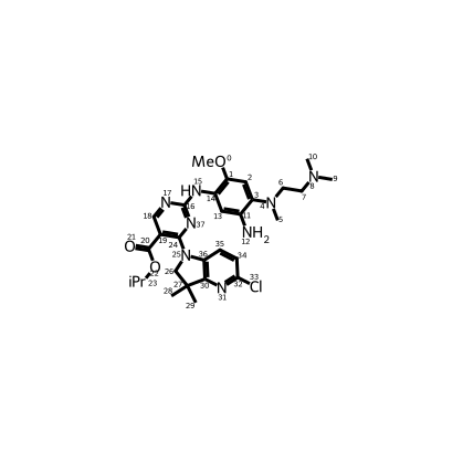 COc1cc(N(C)CCN(C)C)c(N)cc1Nc1ncc(C(=O)OC(C)C)c(N2CC(C)(C)c3nc(Cl)ccc32)n1